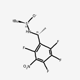 C[C@@H](N[S@+]([O-])C(C)(C)C)c1c(F)c(F)c(F)c([N+](=O)[O-])c1F